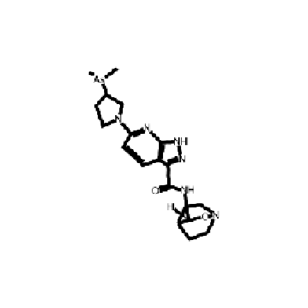 C[As](C)C1CCN(c2ccc3c(C(=O)N[C@@H]4CN5CCC4CC5)n[nH]c3n2)C1